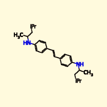 CC(C)CC(C)Nc1ccc(C=Cc2ccc(NC(C)CC(C)C)cc2)cc1